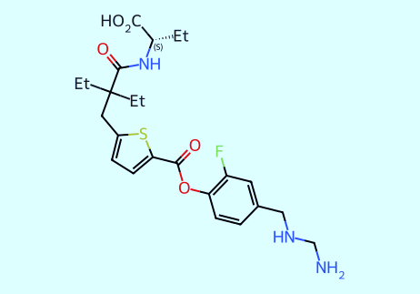 CC[C@H](NC(=O)C(CC)(CC)Cc1ccc(C(=O)Oc2ccc(CNCN)cc2F)s1)C(=O)O